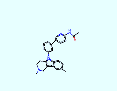 CC(=O)Nc1ccc(-c2cccc(-n3c4c(c5cc(C)ccc53)CN(C)CC4)c2)cn1